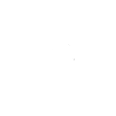 CCOCc1cccnc1N